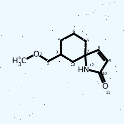 COCC1CCCC2(C=CC(=O)N2)C1